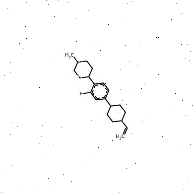 C=CC1CCC(c2ccc(C3CCC(C)CC3)c(F)c2)CC1